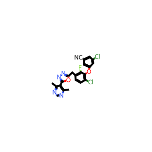 Cc1ncnc(C)c1-c1nnc(Cc2ccc(Cl)c(Oc3cc(Cl)cc(C#N)c3)c2F)o1